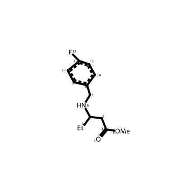 CCC(CC(=O)OC)NCc1ccc(F)cc1